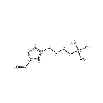 C[Si](C)(C)CCOCn1ncc(C=O)n1